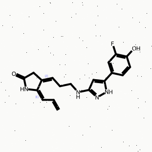 C=C/C=C1/NC(=O)C/C1=C/CCNc1cc(-c2ccc(O)c(F)c2)[nH]n1